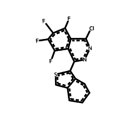 Fc1c(F)c(F)c2c(-c3scc4ccccc34)nnc(Cl)c2c1F